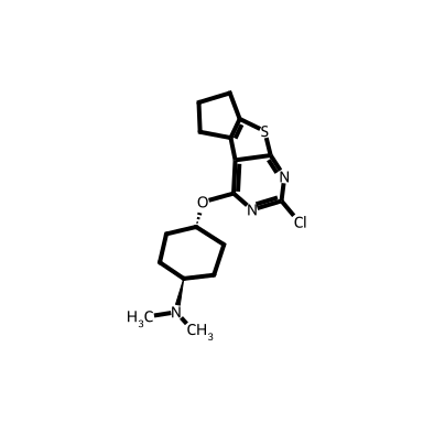 CN(C)[C@H]1CC[C@H](Oc2nc(Cl)nc3sc4c(c23)CCC4)CC1